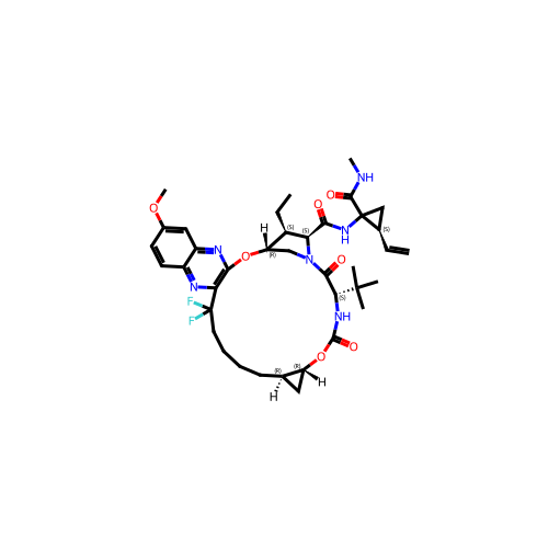 C=C[C@@H]1CC1(NC(=O)[C@@H]1[C@H](CC)[C@@H]2CN1C(=O)[C@H](C(C)(C)C)NC(=O)O[C@@H]1C[C@H]1CCCCC(F)(F)c1nc3ccc(OC)cc3nc1O2)C(=O)NC